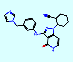 N#CC1CCCCC1n1nc(Nc2cccc(Cn3ccnc3)c2)c2c(=O)[nH]ccc21